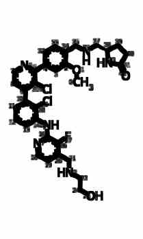 COc1cc(-c2nccc(-c3cccc(Nc4nccc(CNCCO)c4F)c3Cl)c2Cl)ccc1CNC[C@H]1CCC(=O)N1